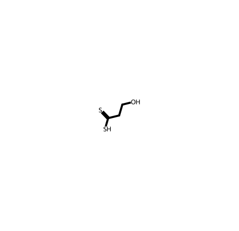 OCCC(=S)S